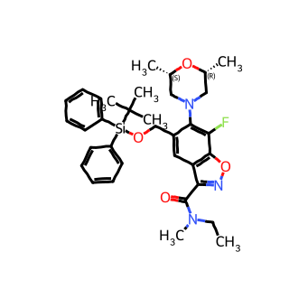 CCN(C)C(=O)c1noc2c(F)c(N3C[C@@H](C)O[C@@H](C)C3)c(CO[Si](c3ccccc3)(c3ccccc3)C(C)(C)C)cc12